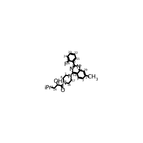 Cc1ccc2c(N3CCN(C(=O)[C@H](O)CC(C)C)CC3)nc(-c3ccccc3F)nc2c1